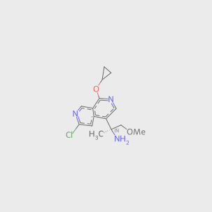 COC[C@@](C)(N)c1cnc(OC2CC2)c2cnc(Cl)cc12